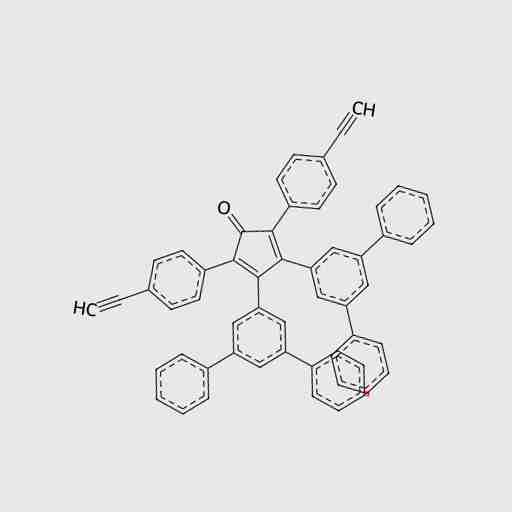 C#Cc1ccc(C2=C(c3cc(-c4ccccc4)cc(-c4ccccc4)c3)C(c3cc(-c4ccccc4)cc(-c4ccccc4)c3)=C(c3ccc(C#C)cc3)C2=O)cc1